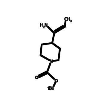 CC=C(N)C1CCN(C(=O)OC(C)(C)C)CC1